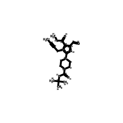 CC#CCn1c(N2CCN(C(=O)OC(C)(C)C)CC2)nc(C=O)c1C(=O)SC